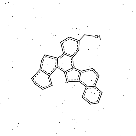 CCc1ccc2c3ccc4ccccc4c3c3nc4c5ccccc5ccc4n3c2c1